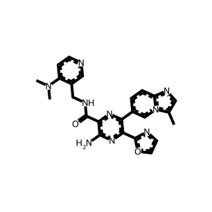 Cc1cnc2ccc(-c3nc(C(=O)NCc4cnccc4N(C)C)c(N)nc3-c3ncco3)cn12